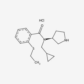 CCSc1ccccc1C(=O)N(CC1CC1)[C@H]1CCNC1.Cl